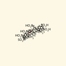 CC(=O)CCCCCN1/C(=C\C=C2/CCCC(/C=C/C3=[N+](CCCCS(=O)(=O)O)c4ccc5c(S(=O)(=O)O)cc(S(=O)(=O)O)cc5c4C3(C)C)=C2Oc2ccc(S(=O)(=O)O)cc2)C(C)(C)c2c1ccc1c(S(=O)(=O)O)cc(S(=O)(=O)O)cc21